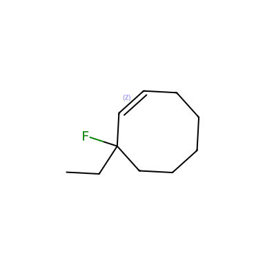 CCC1(F)/C=C\CCCCC1